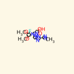 COc1cc(OC)c(F)c(N(CC2CC(O)C(=O)N2)c2ccc3ncc(-c4cnn(C)c4)nc3n2)c1